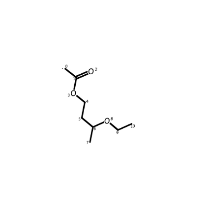 [CH2]C(=O)OCCC(C)OCC